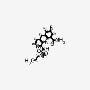 CCCNS(=O)(=O)Nc1nccc(Cc2cc(C(N)=O)cc(F)c2F)c1F